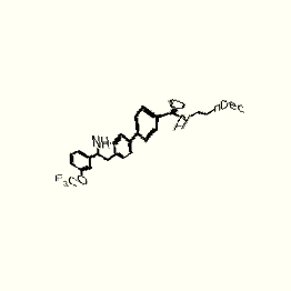 CCCCCCCCCCCCNC(=O)c1ccc(-c2ccc(CC([NH])c3cccc(OC(F)(F)F)c3)cc2)cc1